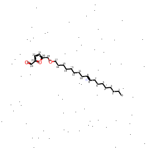 CCCCCCCC/C=C/CCCCCCCCOCc1ccc(C=O)o1